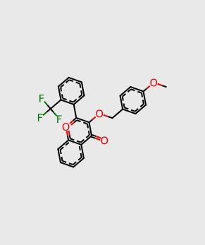 COc1ccc(COc2c(-c3ccccc3C(F)(F)F)oc3ccccc3c2=O)cc1